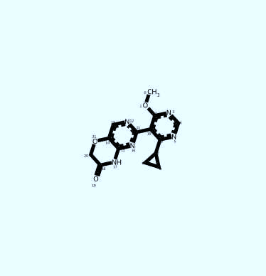 COc1ncnc(C2CC2)c1-c1ncc2c(n1)NC(=O)CO2